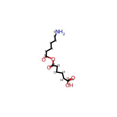 NCCCCCC(=O)OC(=O)CCCCC(=O)O